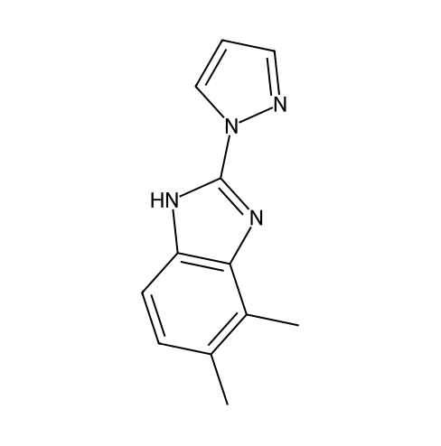 Cc1ccc2[nH]c(-n3cccn3)nc2c1C